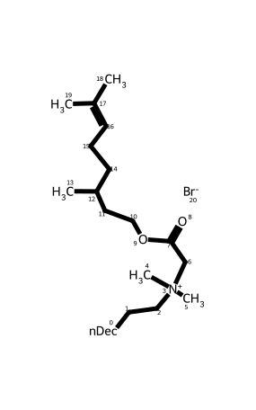 CCCCCCCCCCCC[N+](C)(C)CC(=O)OCCC(C)CCC=C(C)C.[Br-]